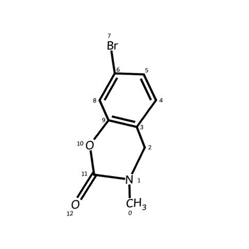 CN1Cc2ccc(Br)cc2OC1=O